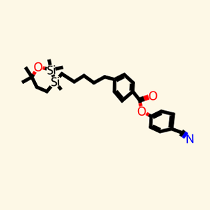 CC1(C)CC[Si](C)(CCCCCc2ccc(C(=O)Oc3ccc(C#N)cc3)cc2)[Si](C)(C)O1